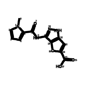 Cn1cccc1C(=O)Nc1n[nH]c2cc(C(=O)O)oc12